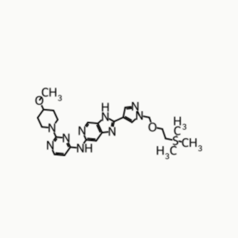 COC1CCN(c2nccc(Nc3cc4nc(-c5cnn(COCCS(C)(C)C)c5)[nH]c4cn3)n2)CC1